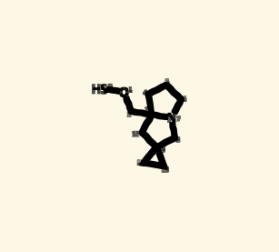 SOCC12CCCN1CC1(CC1)C2